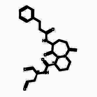 C=C1CCC(NC(=O)CCc2ccccc2)C(=O)N2[C@H](C(=O)N[C@H](C=O)CC=O)CCCN12